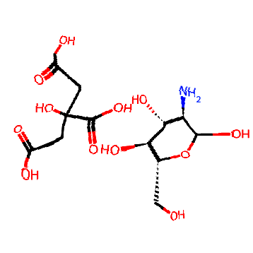 N[C@H]1C(O)O[C@H](CO)[C@@H](O)[C@@H]1O.O=C(O)CC(O)(CC(=O)O)C(=O)O